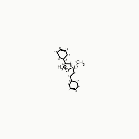 CO[Si](CCC1CC=CCC1)(CCC1CC=CCC1)OC